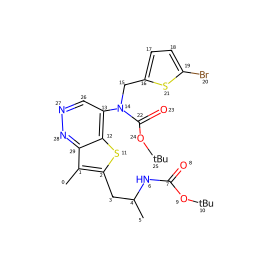 Cc1c(CC(C)NC(=O)OC(C)(C)C)sc2c(N(Cc3ccc(Br)s3)C(=O)OC(C)(C)C)cnnc12